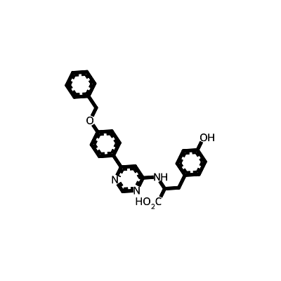 O=C(O)C(Cc1ccc(O)cc1)Nc1cc(-c2ccc(OCc3ccccc3)cc2)ncn1